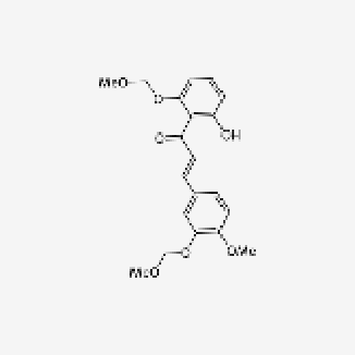 COCOc1cc(C=CC(=O)c2c(O)cccc2OCOC)ccc1OC